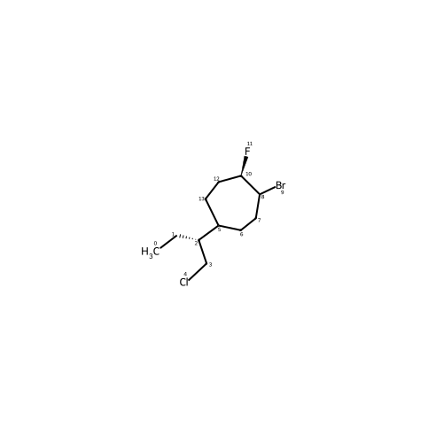 CC[C@@H](CCl)C1CCC(Br)[C@H](F)CC1